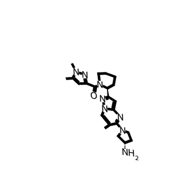 Cc1cn2nc([C@@H]3CCCCN3C(=O)c3cc(C)n(C)n3)cc2nc1N1CC[C@H](N)C1